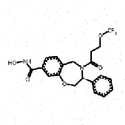 O=C(NO)c1ccc2c(c1)OC[C@H](c1ccccc1)N(C(=O)CCOC(F)(F)F)C2